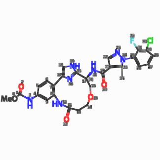 COC(=O)Nc1ccc2c(c1)NC(=O)CCOC[C@H](NC(=O)c1cnn(-c3cccc(Cl)c3F)c1C)c1nc-2c[nH]1